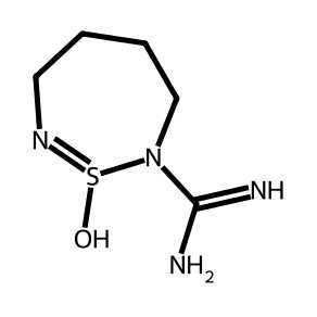 N=C(N)N1CCCCN=S1O